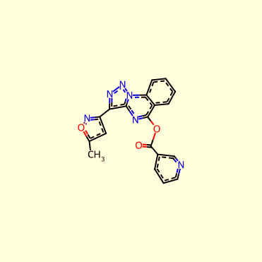 Cc1cc(-c2nnn3c2nc(OC(=O)c2cccnc2)c2ccccc23)no1